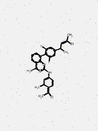 CC/C(C)=C\C(C)c1cc(F)c(-c2cccc3c(N)nc(NC4=CC(C)/C(=C(\C)CC)C=C4)nc23)c(F)c1